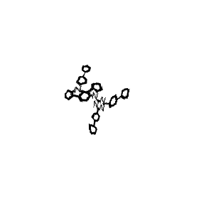 c1ccc(-c2ccc(-c3nc(-c4ccc(-c5ccccc5)cc4)nc(-n4c5ccccc5c5c4ccc4c6ccccc6n(-c6ccc(-c7ccccc7)cc6)c45)n3)cc2)cc1